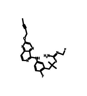 CC#CCOc1cnc2c(Nc3ccc(F)c(CC(C)(C)S/C(N)=N\CF)c3)nccc2n1